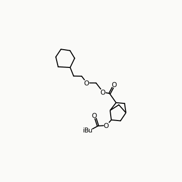 CCC(C)C(=O)OC1CC2CC(C(=O)OCOCCC3CCCCC3)C1C2